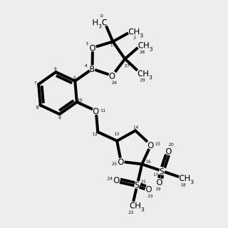 CC1(C)OB(c2ccccc2OCC2COC(S(C)(=O)=O)(S(C)(=O)=O)O2)OC1(C)C